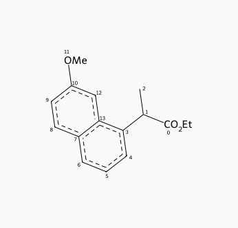 CCOC(=O)C(C)c1cccc2ccc(OC)cc12